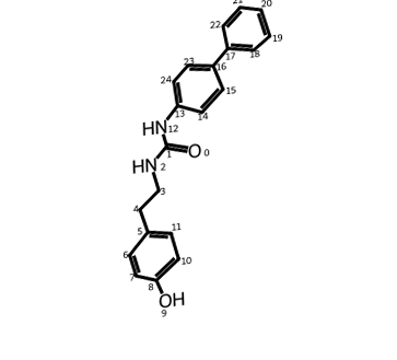 O=C(NCCc1ccc(O)cc1)Nc1ccc(-c2ccccc2)cc1